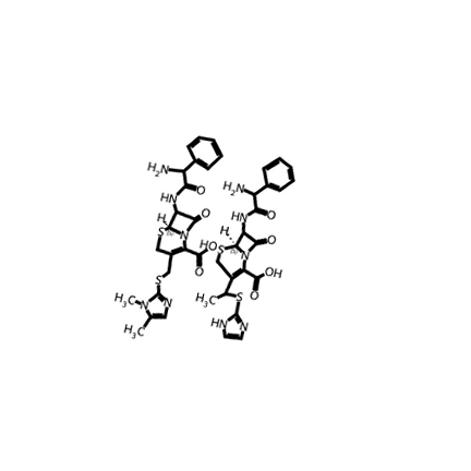 CC(Sc1ncc[nH]1)C1=C(C(=O)O)N2C(=O)C(NC(=O)C(N)c3ccccc3)[C@@H]2SC1.Cc1cnc(SCC2=C(C(=O)O)N3C(=O)C(NC(=O)C(N)c4ccccc4)[C@@H]3SC2)n1C